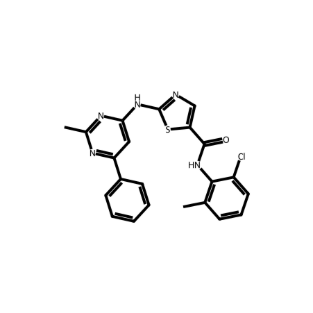 Cc1nc(Nc2ncc(C(=O)Nc3c(C)cccc3Cl)s2)cc(-c2ccccc2)n1